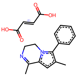 CC1=NCCn2c1cc(C)c2-c1ccccc1.O=C(O)/C=C/C(=O)O